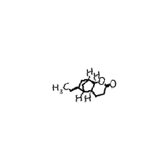 C/C=C1\C[C@H]2C[C@@H]1[C@@H]1CCC(=O)O[C@H]21